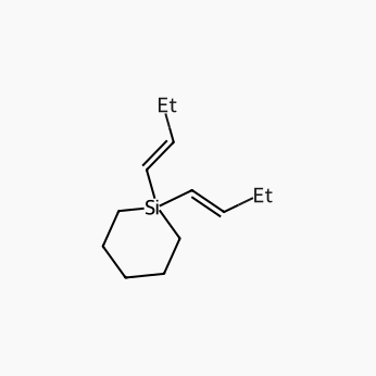 CCC=C[Si]1(C=CCC)CCCCC1